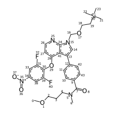 COCCCN(C)C(=O)c1ccc(-c2cn(COCC[Si](C)(C)C)c3nccc(Oc4c(F)cc([N+](=O)[O-])cc4F)c23)cc1